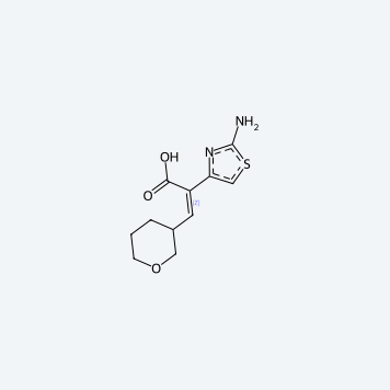 Nc1nc(/C(=C/C2CCCOC2)C(=O)O)cs1